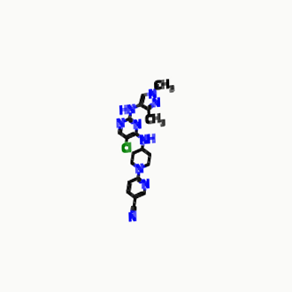 Cc1nn(C)cc1Nc1ncc(Cl)c(NC2CCN(c3ccc(C#N)cn3)CC2)n1